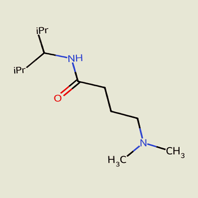 CC(C)C(NC(=O)CCCN(C)C)C(C)C